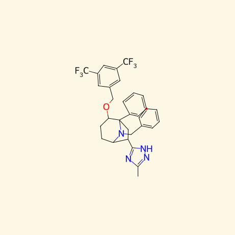 Cc1n[nH]c(C2CC3(c4ccccc4)C(OCc4cc(C(F)(F)F)cc(C(F)(F)F)c4)CCC2N3Cc2ccccc2)n1